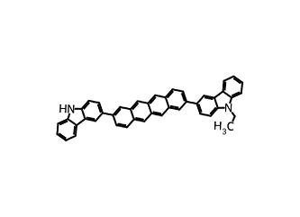 CCn1c2ccccc2c2cc(-c3ccc4cc5cc6cc(-c7ccc8[nH]c9ccccc9c8c7)ccc6cc5cc4c3)ccc21